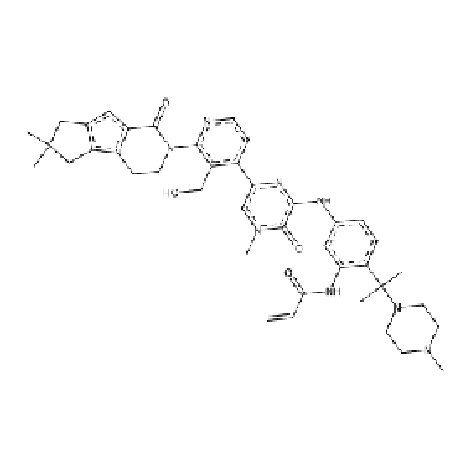 C=CC(=O)Nc1cc(Nc2nc(-c3ccnc(N4CCn5c(cc6c5CC(C)(C)C6)C4=O)c3CO)cn(C)c2=O)ccc1C(C)(C)N1CCN(C)CC1